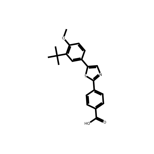 COc1ccc(-c2cnc(-c3ccc(C(=O)O)cc3)s2)cc1C(C)(C)C